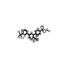 CCOC(=O)c1ccc(-c2cc(-c3ccnc(C(C)(C)C)c3)cnc2C(F)(F)F)cc1